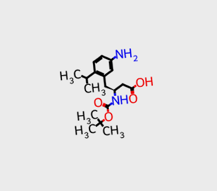 CC(C)c1ccc(N)cc1C[C@@H](CC(=O)O)NC(=O)OC(C)(C)C